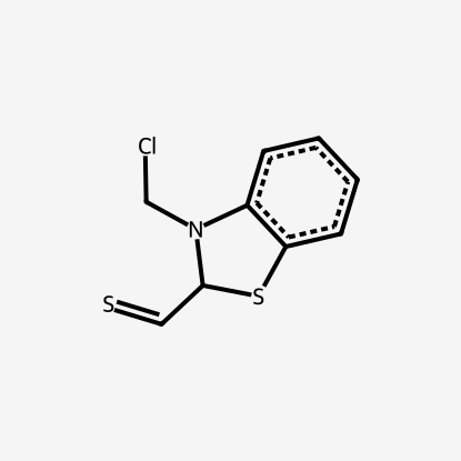 S=CC1Sc2ccccc2N1CCl